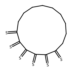 S=C1CCCCCCCCCC(=S)C(=S)C(=S)C(=S)C1=S